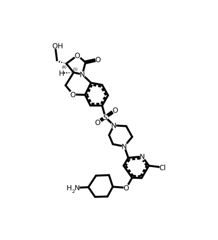 NC1CCC(Oc2cc(Cl)nc(N3CCN(S(=O)(=O)c4ccc5c(c4)OC[C@H]4[C@H](CO)OC(=O)N54)CC3)c2)CC1